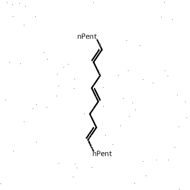 CCCCCC=CCC=CCC=CCCCCC